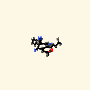 CC1=C/C(=C(\C#N)C(=C(C#N)C#N)c2ccccc2)C=C(/C=C/C(C)C)O1